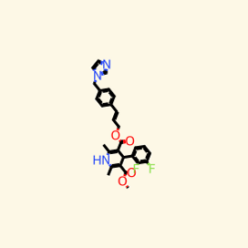 COC(=O)C1=C(C)NC(C)=C(C(=O)OC/C=C/c2ccc(Cn3ccnc3)cc2)C1c1cccc(F)c1F